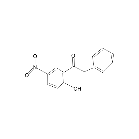 O=C(Cc1ccccc1)c1cc([N+](=O)[O-])ccc1O